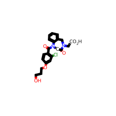 O=C(O)CN1Cc2ccccc2N(C(=O)c2ccc(OCCCO)cc2Cl)CC1=O